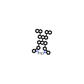 CCn1c2ccccc2c2cc(-c3cccc4c(-c5c6cccc(-c7cccc8ccccc78)c6cc6c(-c7cccc8ccccc78)cccc56)c5cccc(-c6ccc7c(c6)c6ccccc6n7CC)c5cc34)ccc21